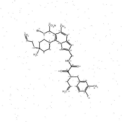 C=CCOC1(C)CCN(c2c(C(OC(C)(C)C)C(=O)O)c(C)nc3cc(CNC(=O)C(=O)N(CC=C)Cc4ccc(F)c(C)c4)nn23)CC1